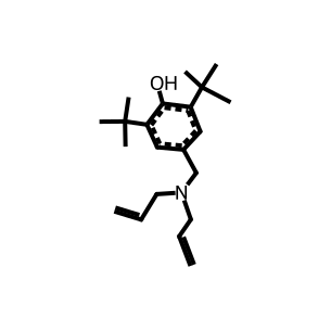 C=CCN(CC=C)Cc1cc(C(C)(C)C)c(O)c(C(C)(C)C)c1